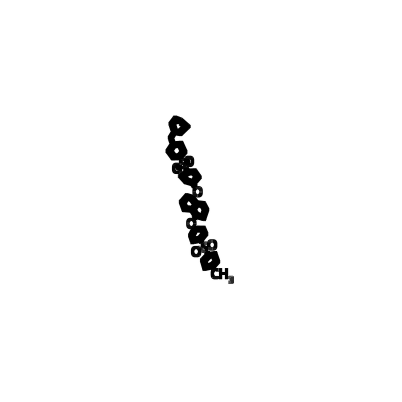 Cc1ccc(S(=O)(=O)c2ccc(Oc3cccc4c(Oc5ccc(S(=O)(=O)c6ccc(Cc7ccccc7)cc6)cc5)cccc34)cc2)cc1